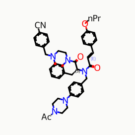 CCCOc1ccc(/C=C/C(=O)N(Cc2ccc(N3CCN(C(C)=O)CC3)cc2)[C@@H](Cc2ccccc2)C(=O)N2CCN(Cc3ccc(C#N)cc3)CC2)cc1